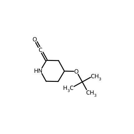 CC(C)(C)OC1CCNC(=C=O)C1